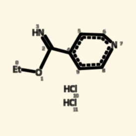 CCOC(=N)c1ccncc1.Cl.Cl